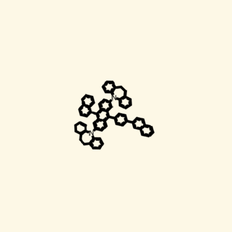 C1=CC2=C(CC1)CCc1ccccc1N2c1ccc2c(-c3ccc(-c4ccc5ccccc5c4)cc3)c3cc(N4c5ccccc5CCc5ccccc54)ccc3c(-c3cccc4ccccc34)c2c1